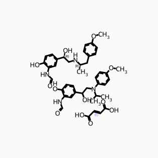 COc1ccc(C[C@@H](C)NC[C@H](O)c2ccc(O)c(NC=O)c2)cc1.COc1ccc(N(CC(O)c2ccc(O)c(NC=O)c2)C(C)C)cc1.O=C(O)/C=C/C(=O)O